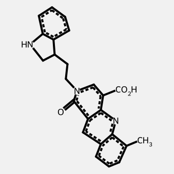 Cc1cccc2cc3c(=O)n(CCC4CNc5ccccc54)cc(C(=O)O)c3nc12